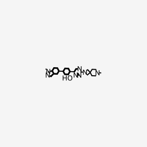 CN1CCC2(CC1)CN(c1ncc(-c3ccc(-c4ccc5c(cnn5C)c4)cc3O)nn1)C2